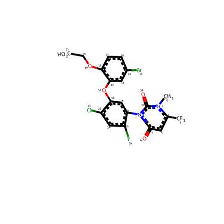 Cn1c(C(F)(F)F)cc(=O)n(-c2cc(Oc3cc(Br)ccc3OCC(=O)O)c(Cl)cc2F)c1=O